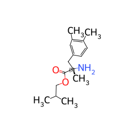 Cc1ccc(C[C@](C)(N)C(=O)OCC(C)C)cc1C